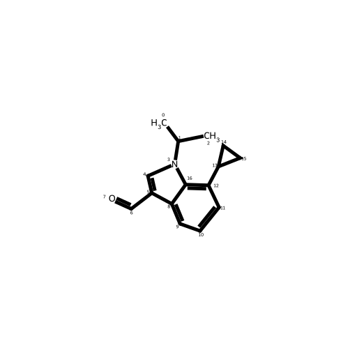 CC(C)n1cc(C=O)c2cccc(C3CC3)c21